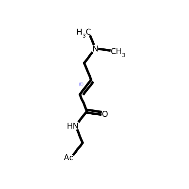 CC(=O)CNC(=O)/C=C/CN(C)C